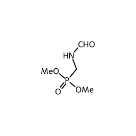 COP(=O)(CNC=O)OC